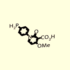 COc1ccn(-c2ccc(P)cc2)c(=O)c1C(=O)O